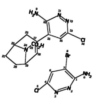 Nc1nnc(Cl)cc1Br.Nc1nnc(Cl)cc1C1=CC2CCC(C1)N2C(=O)O